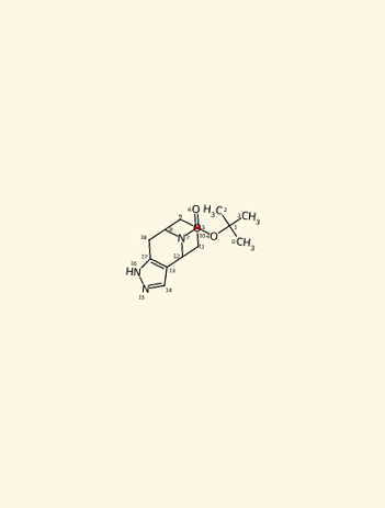 CC(C)(C)OC(=O)N1C2COCC1c1cn[nH]c1C2